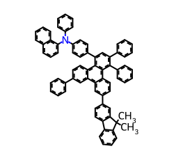 CC1(C)c2ccccc2-c2ccc(-c3ccc4c(c3)c3cc(-c5ccccc5)ccc3c3c(-c5ccc(N(c6ccccc6)c6cccc7ccccc67)cc5)cc(-c5ccccc5)c(-c5ccccc5)c43)cc21